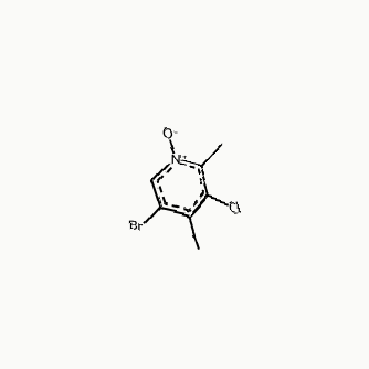 Cc1c(Br)c[n+]([O-])c(C)c1Cl